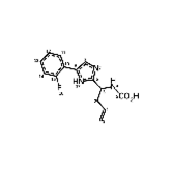 C=CCC(NC(=O)O)c1ncc(-c2ccccc2F)[nH]1